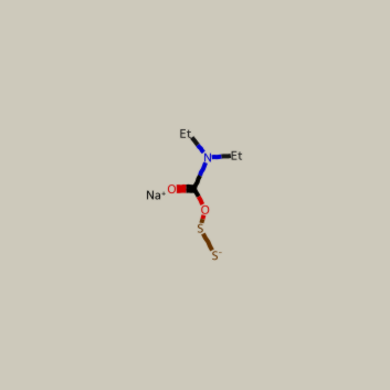 CCN(CC)C(=O)OS[S-].[Na+]